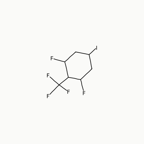 FC1CC(I)CC(F)C1C(F)(F)F